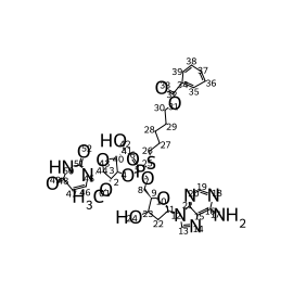 CO[C@H]1C(OP(=O)(OC[C@H]2O[C@@H](n3cnc4c(N)ncnc43)CC2O)SCCCCCOC(=O)c2ccccc2)[C@@H](CO)O[C@H]1n1ccc(=O)[nH]c1=O